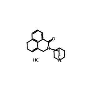 Cl.O=C1c2cccc3c2C(=CCC3)CN1C1CN2CCC1CC2